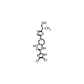 CCc1[nH]c(C(=O)NC2CCN(c3nnc([C@@H](C)CO)s3)CC2O)nc1Cl